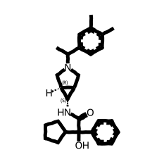 Cc1ccc(C(C)N2CC3[C@H](C2)[C@H]3NC(=O)C(O)(c2ccccc2)C2CCCC2)cc1C